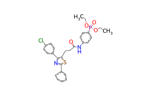 CCOP(=O)(OCC)c1ccc(NC(=O)CCc2sc(-c3ccccc3)nc2-c2ccc(Cl)cc2)cc1